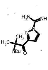 CCCCC(C)(C)C(=O)c1ccn(C(=N)N)n1